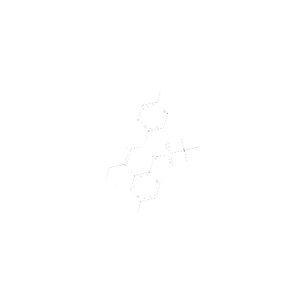 CCC(=NOc1ccc(F)cc1)c1cc(Cl)ccc1NS(=O)(=O)C(F)(F)F